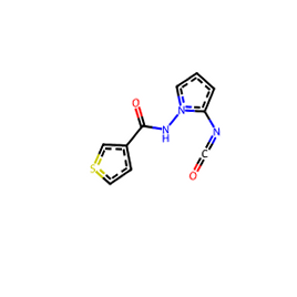 O=C=Nc1cccn1NC(=O)c1ccsc1